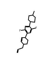 C=CCC1C=CC(c2cc(F)c(C3CCC(C)CC3)cc2F)CC1